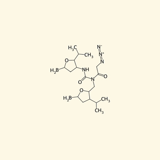 BC1CC(C(C)C)C(CN(C(=O)CN=[N+]=[N-])C(=O)NC2CC(B)OC2C(C)C)O1